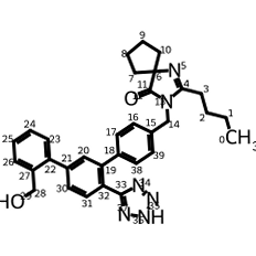 CCCCC1=NC2(CCCC2)C(=O)N1Cc1ccc(-c2cc(-c3ccccc3CO)ccc2-c2nn[nH]n2)cc1